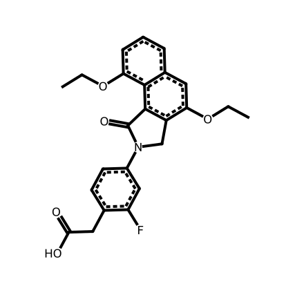 CCOc1cc2cccc(OCC)c2c2c1CN(c1ccc(CC(=O)O)c(F)c1)C2=O